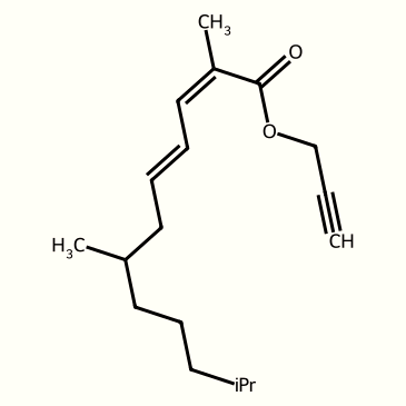 C#CCOC(=O)C(C)=CC=CCC(C)CCCC(C)C